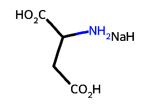 NC(CC(=O)O)C(=O)O.[NaH]